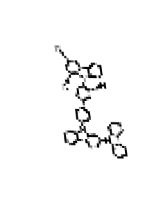 N#Cc1cc(C#N)c2c(c1)c1ccccc1n2-c1ccc(-c2ccc(-n3c4ccccc4c4ccc(-n5c6ccccc6c6ccccc65)cc43)cc2)cc1C#N